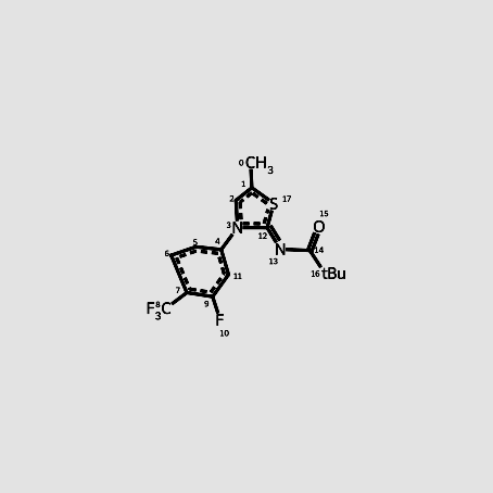 Cc1cn(-c2ccc(C(F)(F)F)c(F)c2)c(=NC(=O)C(C)(C)C)s1